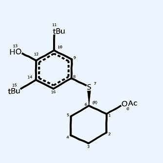 CC(=O)OC1CCCC[C@H]1Sc1cc(C(C)(C)C)c(O)c(C(C)(C)C)c1